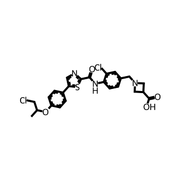 CC(CCl)Oc1ccc(-c2cnc(C(=O)Nc3ccc(CN4CC(C(=O)O)C4)cc3Cl)s2)cc1